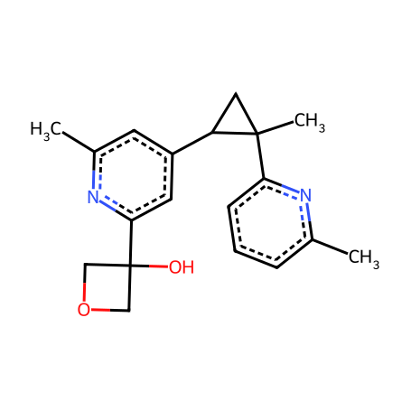 Cc1cc(C2CC2(C)c2cccc(C)n2)cc(C2(O)COC2)n1